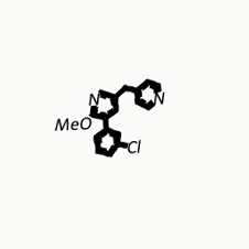 COc1ncc(Cc2ccncc2)cc1-c1cccc(Cl)c1